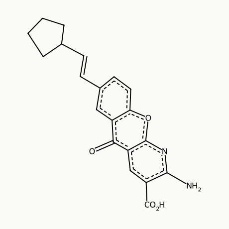 Nc1nc2oc3ccc(C=CC4CCCC4)cc3c(=O)c2cc1C(=O)O